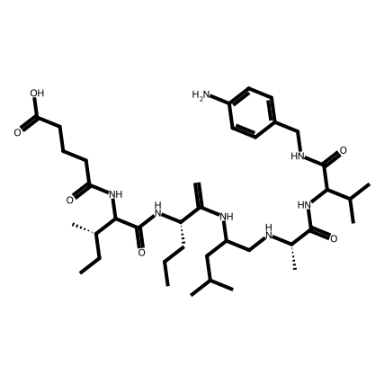 C=C(NC(CN[C@@H](C)C(=O)NC(C(=O)NCc1ccc(N)cc1)C(C)C)CC(C)C)[C@H](CCC)NC(=O)C(NC(=O)CCCC(=O)O)[C@@H](C)CC